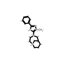 [CH2].c1ccc(-c2nnc(N3CCN4CCCC(C4)C3)o2)cc1